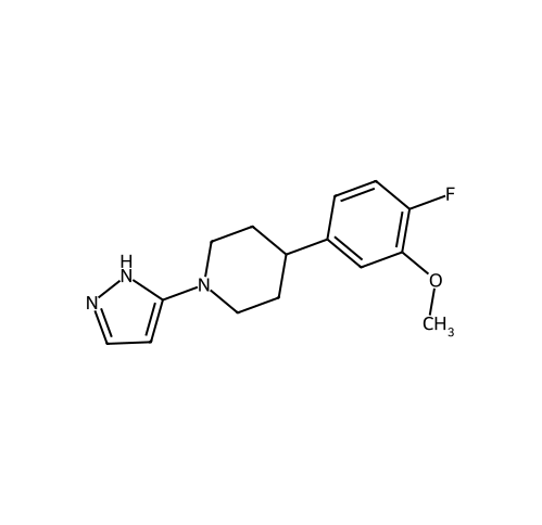 COc1cc(C2CCN(c3ccn[nH]3)CC2)ccc1F